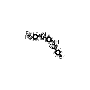 FC(F)(F)Oc1ccc(-n2cnc(-c3ccc(NC4=NC(c5ccc(Br)cc5)CO4)cc3)n2)cc1